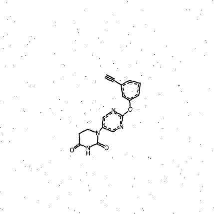 C#Cc1cccc(Oc2ncc(N3CCC(=O)NC3=O)cn2)c1